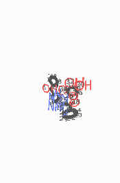 Nc1nc(C(=O)c2ccccc2)nc2c1nc(C(=O)c1ccccc1)n2[C@@H]1OC[C@@H](O)[C@@H](O)[C@H]1O